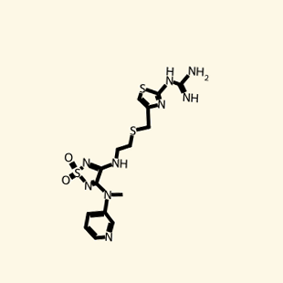 CN(C1=NS(=O)(=O)N=C1NCCSCc1csc(NC(=N)N)n1)c1cccnc1